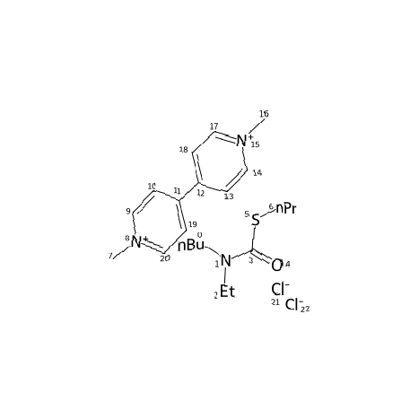 CCCCN(CC)C(=O)SCCC.C[n+]1ccc(-c2cc[n+](C)cc2)cc1.[Cl-].[Cl-]